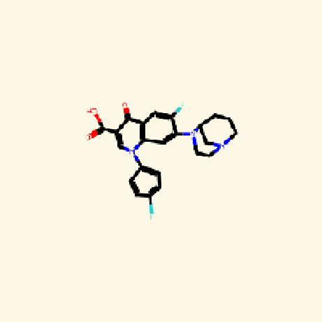 O=C(O)c1cn(-c2ccc(F)cc2)c2cc(N3CCN4CCCC3C4)c(F)cc2c1=O